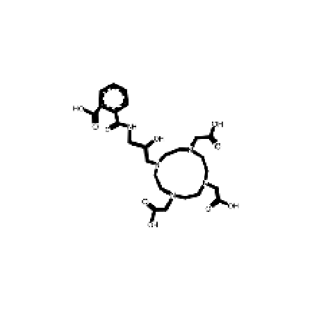 O=C(O)CN1CCN(CC(=O)O)CCN(CC(O)CNC(=O)c2ccccc2C(=O)O)CCN(CC(=O)O)CC1